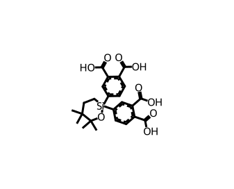 CC1(C)CC[Si](c2ccc(C(=O)O)c(C(=O)O)c2)(c2ccc(C(=O)O)c(C(=O)O)c2)OC1(C)C